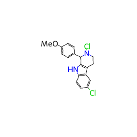 COc1ccc(C2c3[nH]c4ccc(Cl)cc4c3CCN2Cl)cc1